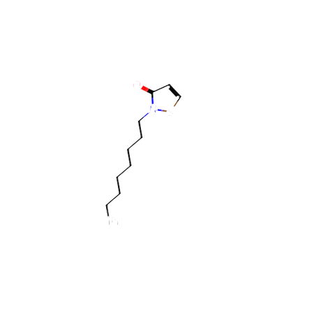 CC(C)CCCCCCCn1sccc1=O